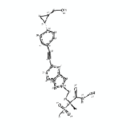 C[C@@](CCn1cc2cc(C#Cc3ccc([C@@H]4C[C@H]4CO)cc3)ccc2n1)(C(=O)NO)S(C)(=O)=O